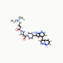 CN(C)C/C=C/C(=O)N1CC(C(=O)N2CCC(c3cc4c(-c5cnn6ncccc56)ccnc4[nH]3)CC2)C1